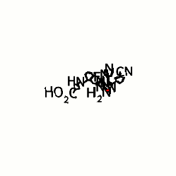 N#Cc1cccc(-c2nc(N)c3nc(Cc4c(F)cccc4CNC4CC(C(=O)O)C4)nn3c2-c2ccncn2)c1